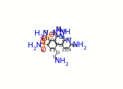 NCCc1cc(S(N)(=O)=O)c(S(N)(=O)=O)c(-c2nn[nH]n2)c1-c1ccc(N)nc1